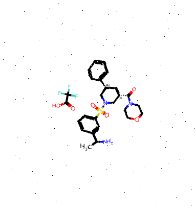 CC(N)c1cccc(S(=O)(=O)N2C[C@@H](C(=O)N3CCOCC3)C[C@H](c3ccccc3)C2)c1.O=C(O)C(F)(F)F